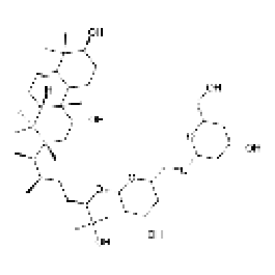 C[C@H](CC[C@@H](O[C@H]1C[C@@H](O)C[C@@H](CO[C@H]2C[C@@H](O)C[C@@H](CO)O2)O1)C(C)(C)O)[C@H]1CC[C@@]2(C)[C@@H]3CC=C4C(CC[C@H](O)C4(C)C)[C@]3(C)[C@H](O)C[C@]12C